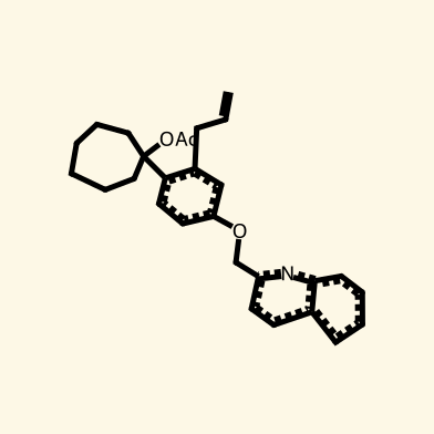 C=CCc1cc(OCc2ccc3ccccc3n2)ccc1C1(OC(C)=O)CCCCCC1